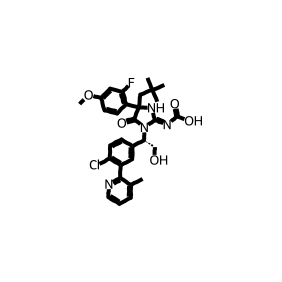 COc1ccc(C2(CC(C)(C)C)NC(=NC(=O)O)N([C@H](CO)c3ccc(Cl)c(-c4ncccc4C)c3)C2=O)c(F)c1